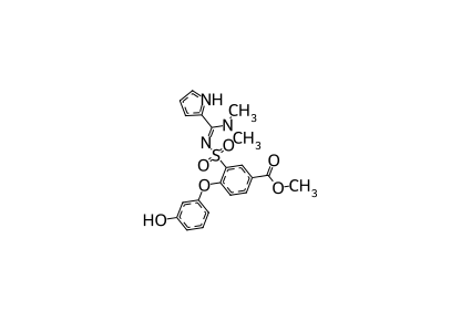 COC(=O)c1ccc(Oc2cccc(O)c2)c(S(=O)(=O)N=C(c2ccc[nH]2)N(C)C)c1